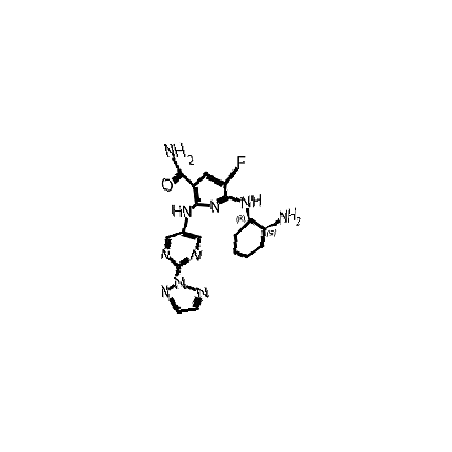 NC(=O)c1cc(F)c(N[C@@H]2CCCC[C@@H]2N)nc1Nc1cnc(-n2nccn2)nc1